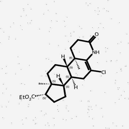 CCOC(=O)[C@H]1CC[C@H]2[C@@H]3CC(Cl)=C4NC(=O)CC[C@]4(C)[C@H]3CC[C@]12C